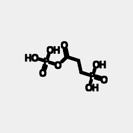 O=C(CCP(=O)(O)O)OP(=O)(O)O